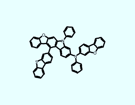 c1ccc(N(c2ccc3c(c2)oc2ccccc23)c2ccc3c4c(-c5ccc6c(c5)sc5ccccc56)c5c(cc4n(-c4ccccc4)c3c2)oc2ccccc25)cc1